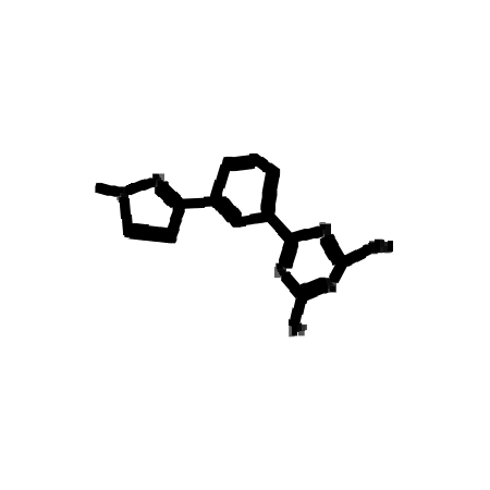 CC(C)c1nc(-c2cccc(-c3ccn(C)n3)c2)nc(C(C)(C)C)n1